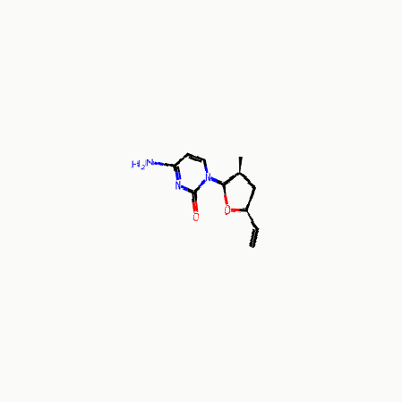 C=C[C@@H]1C[C@H](C)C(n2ccc(N)nc2=O)O1